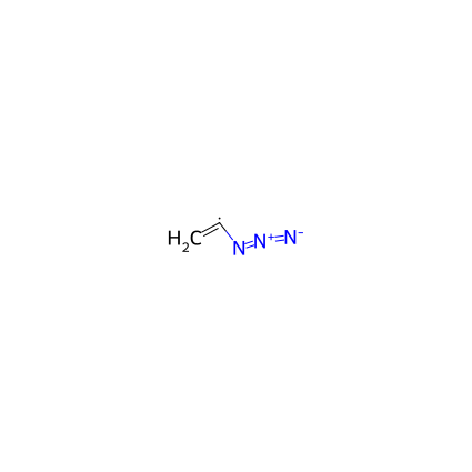 C=[C]N=[N+]=[N-]